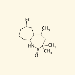 CCC1CCCC2NC(=O)C(C)(C)CC(C)C2C1